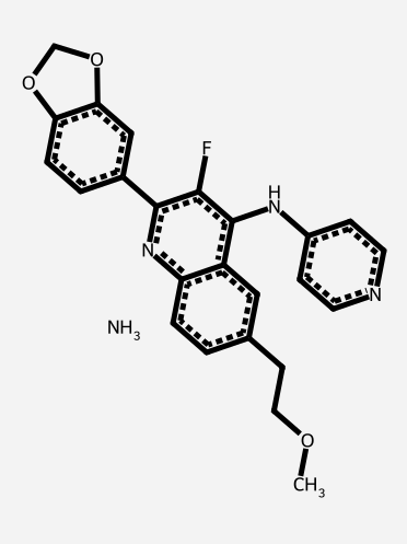 COCCc1ccc2nc(-c3ccc4c(c3)OCO4)c(F)c(Nc3ccncc3)c2c1.N